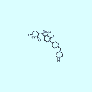 O=C1CCC(c2n[nH]c3c(F)c(C4CCN(CC5CCNCC5)CC4)ccc23)C(=O)N1